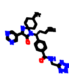 CC(C)C1CCC2(CC1)N=C(c1cncnc1)C(=O)N2[C@H](CCC(C)(C)C)c1ccc(C(=O)NCc2nn[nH]n2)cc1